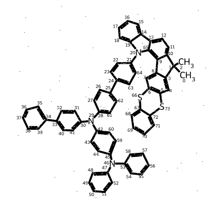 CC1(C)c2cc3c(cc2-c2c1ccc1c4ccccc4n(-c4ccc(-c5ccc(N(c6ccc(-c7ccccc7)cc6)c6ccc(N(c7ccccc7)c7ccccc7)cc6)cc5)cc4)c21)Sc1ccccc1S3